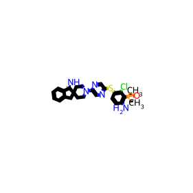 CP(C)(=O)c1c(N)ccc(Sc2cnc(N3CCC4(CC3)Cc3ccccc3[C@H]4N)cn2)c1Cl